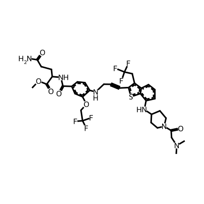 COC(=O)C(CCC(N)=O)NC(=O)c1ccc(NCC#Cc2sc3c(NC4CCN(C(=O)CN(C)C)CC4)cccc3c2CC(F)(F)F)c(OCC(F)(F)F)c1